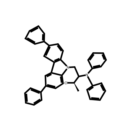 C[C@@H](Cl)C(Cn1c2ccc(-c3ccccc3)cc2c2cc(-c3ccccc3)ccc21)N(c1ccccc1)c1ccccc1